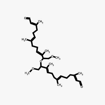 COCC(OC(COC)C(C)=CCCC(C)=CCCC(C)=CC=O)C(C)=CCCC(C)=CCCC(C)=CC=O